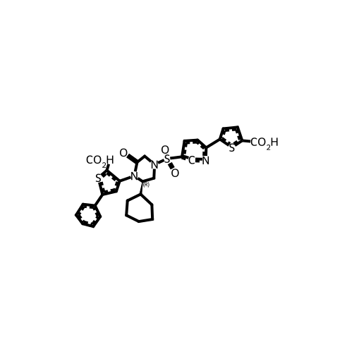 O=C(O)c1ccc(-c2ccc(S(=O)(=O)N3CC(=O)N(c4cc(-c5ccccc5)sc4C(=O)O)[C@H](C4CCCCC4)C3)cn2)s1